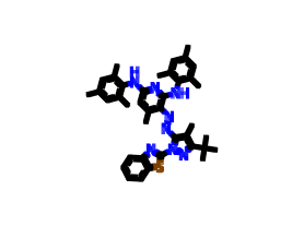 Cc1cc(C)c(Nc2cc(C)c(N=Nc3c(C)c(C(C)(C)C)nn3-c3nc4ccccc4s3)c(Nc3c(C)cc(C)cc3C)n2)c(C)c1